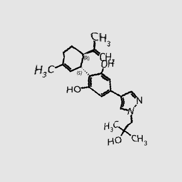 C=C(C)[C@@H]1CCC(C)=C[C@H]1c1c(O)cc(-c2cnn(CC(C)(C)O)c2)cc1O